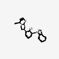 C=C1C=CN=C2C=C(c3cccc(-n4nnc5ccccc54)c3Cl)C=CN12